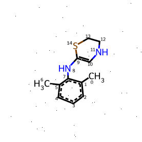 Cc1cccc(C)c1NC1=CNCCS1